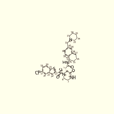 O=C(C[C@@H]1C(=O)NCCN1S(=O)(=O)c1cc2cc(Cl)ccc2s1)N[C@@H]1CCCc2cc(CN3CCCCC3)ccc21